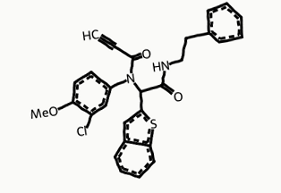 C#CC(=O)N(c1ccc(OC)c(Cl)c1)C(C(=O)NCCc1ccccc1)c1cc2ccccc2s1